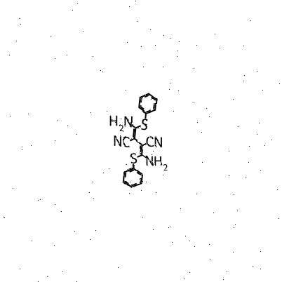 N#CC(=C(\N)Sc1ccccc1)/C(C#N)=C(/N)Sc1ccccc1